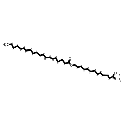 CCCCCCC=CCCCCCCCCCCCC(=O)OCCCCCCCCCCCCC(C)C